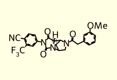 COc1cccc(CC(=O)N2CC3CC2[C@H]2C(=O)N(c4ccc(C#N)c(C(F)(F)F)c4)C(=O)N32)c1